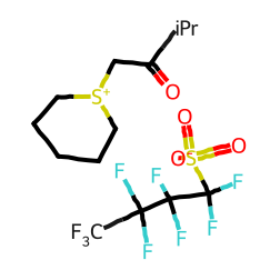 CC(C)C(=O)C[S+]1CCCCC1.O=S(=O)([O-])C(F)(F)C(F)(F)C(F)(F)C(F)(F)F